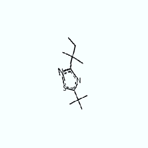 CCC(C)(C)c1nsc(C(C)(C)C)n1